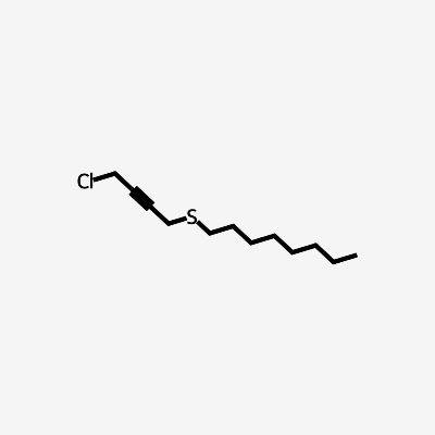 CCCCCCCCSCC#CCCl